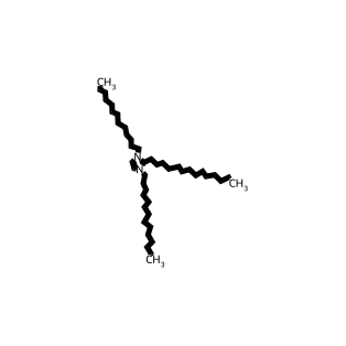 CCCCCCCCCCCCCCC1N(CCCCCCCCCCCCC)C=CN1CCCCCCCCCCCCCC